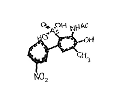 CC(=O)Nc1c(O)c(C)cc(-c2cccc([N+](=O)[O-])c2)c1[As](=O)(O)O